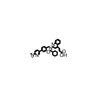 CN(C)c1ccc(-c2ccc(CN(C(=O)C3CCCCC3)c3cc(C=CC(=O)O)c4ccccc4n3)cc2)cn1